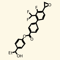 CCC(O)c1ccc(OC(=O)c2ccc(-c3ccc(C4CO4)c(F)c3C(F)F)cc2)cc1